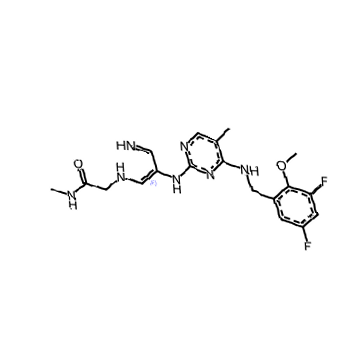 CNC(=O)CN/C=C(\C=N)Nc1ncc(C)c(NCc2cc(F)cc(F)c2OC)n1